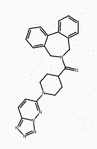 O=C(C1CCN(c2ccc3nnnn3n2)CC1)N1Cc2ccccc2-c2ccccc2C1